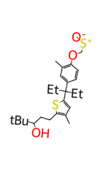 CCC(CC)(c1ccc(OC[S+](C)[O-])c(C)c1)c1cc(C)c(CCC(O)C(C)(C)C)s1